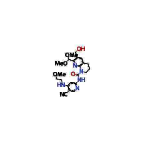 COCCNc1cc(NC(=O)N2CCCc3cc(CO)c(C(OC)OC)nc32)ncc1C#N